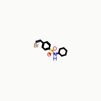 O=S(=O)(NC1CCCCC1)c1ccc(/C=C\Br)cc1